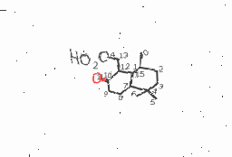 C[C@H]1CCC(C)(C)C2CCC(=O)C(CC(=O)O)C21